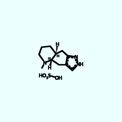 CN1CCC[C@H]2Cc3n[nH]cc3C[C@@H]21.O=S(=O)(O)O